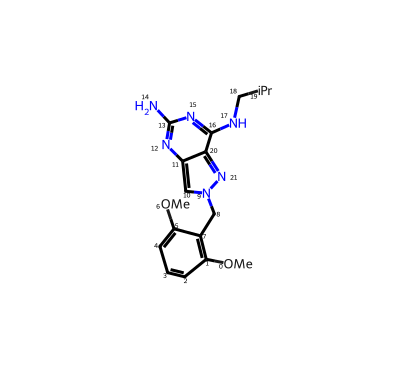 COc1cccc(OC)c1Cn1cc2nc(N)nc(NCC(C)C)c2n1